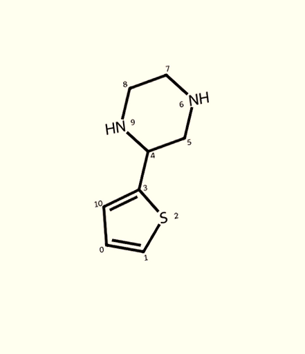 c1csc(C2CNCCN2)c1